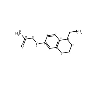 NCC1CCCc2cc(OCC(N)=O)ccc21